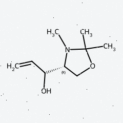 C=CC(O)[C@H]1COC(C)(C)N1C